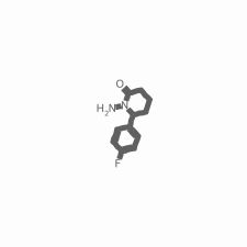 NN1C(=O)CCCC1c1ccc(F)cc1